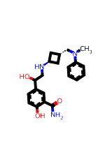 CN(C[C@H]1C[C@H](NCC(O)c2ccc(O)c(C(N)=O)c2)C1)c1ccccc1